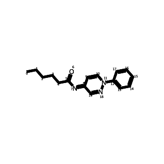 CCCCCC(=O)N=c1ccn(-c2ccccc2)nc1